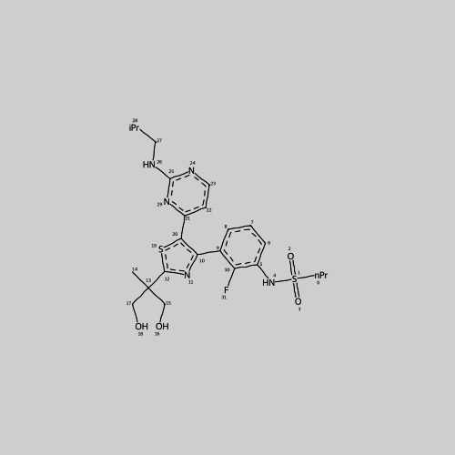 CCCS(=O)(=O)Nc1cccc(-c2nc(C(C)(CO)CO)sc2-c2ccnc(NCC(C)C)n2)c1F